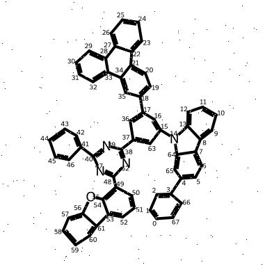 c1ccc(-c2ccc3c4ccccc4n(-c4cc(-c5ccc6c7ccccc7c7ccccc7c6c5)cc(-c5nc(-c6ccccc6)nc(-c6cccc7c6oc6ccccc67)n5)c4)c3c2)cc1